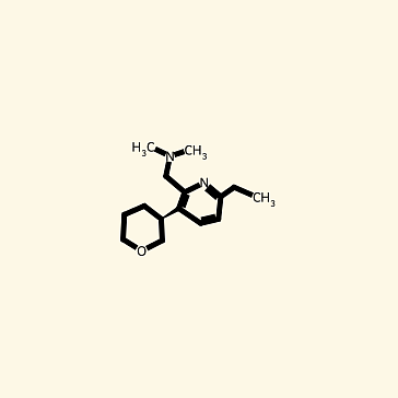 CCc1ccc([C@@H]2CCCOC2)c(CN(C)C)n1